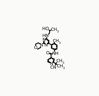 Cc1ccc(NC(=O)c2ccnc(C(C)(C)C#N)c2)cc1-c1cc(NCC(C)O)nc(N2CCOCC2)n1